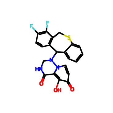 O=C1NCN(C2c3ccccc3SCc3c2ccc(F)c3F)n2ccc(=O)c(O)c21